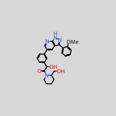 COc1ccccc1-c1n[nH]c2ncc(-c3cccc(C(O)C(=O)N4CCCCC4CO)c3)cc12